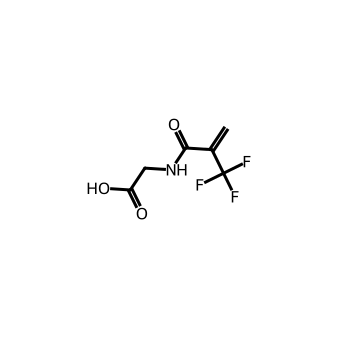 C=C(C(=O)NCC(=O)O)C(F)(F)F